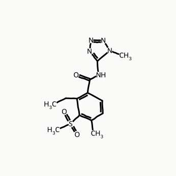 CCc1c(C(=O)Nc2nnnn2C)ccc(C)c1S(C)(=O)=O